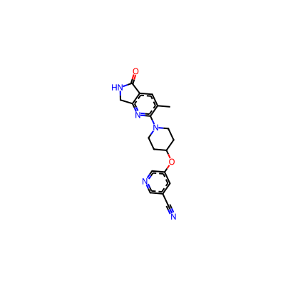 Cc1cc2c(nc1N1CCC(Oc3cncc(C#N)c3)CC1)CNC2=O